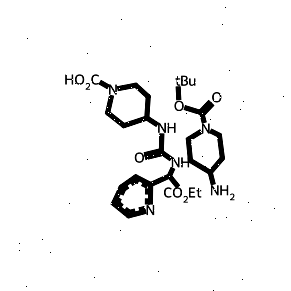 CC(C)(C)OC(=O)N1CCC(N)CC1.CCOC(=O)C(NC(=O)NC1CCN(C(=O)O)CC1)c1ccccn1